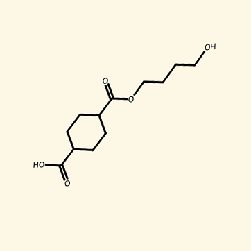 O=C(O)C1CCC(C(=O)OCCCCO)CC1